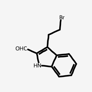 O=Cc1[nH]c2ccccc2c1CCBr